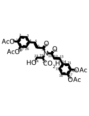 CC(=O)Oc1ccc(C=CC(=O)N(C(=O)C=Cc2ccc(OC(C)=O)c(OC(C)=O)c2)C(CO)C(=O)O)cc1OC(C)=O